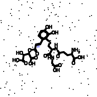 NC(CCC(=O)NC(CSc1c(/C=C/C(=O)OC(C(=O)O)C(O)C(=O)O)ccc(O)c1O)C(=O)NCC(=O)O)C(=O)O